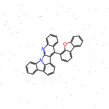 c1ccc2c(-c3cccc4c3oc3ccccc34)c3c4cccc5c6ccccc6n(c3nc2c1)c54